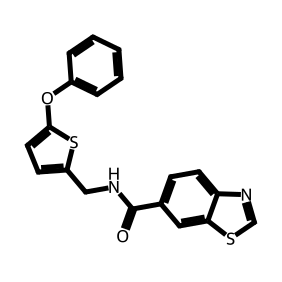 O=C(NCc1ccc(Oc2ccccc2)s1)c1ccc2ncsc2c1